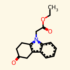 CCOC(=O)Cn1c2c(c3ccccc31)CC(=O)CC2